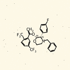 C=C(O[C@H]1OCCN(Cc2ccccc2)[C@H]1c1ccc(F)cc1)c1cc(C(F)(F)F)ccc1C(F)(F)F